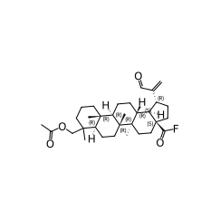 C=C(C=O)[C@@H]1CC[C@]2(C(=O)F)CC[C@]3(C)[C@H](CC[C@@H]4[C@@]5(C)CCCC(C)(COC(C)=O)[C@@H]5CC[C@]43C)[C@@H]12